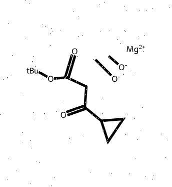 CC(C)(C)OC(=O)CC(=O)C1CC1.C[O-].C[O-].[Mg+2]